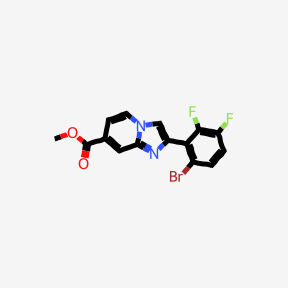 COC(=O)c1ccn2cc(-c3c(Br)ccc(F)c3F)nc2c1